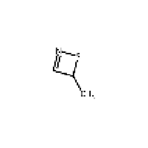 CC1C=NS1